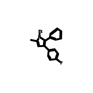 CCn1c(C)cc(-c2ccc(F)cc2)c1-c1ccccc1